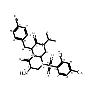 CC(C)N1CC2N(C(=O)C(N)CN2S(=O)(=O)c2ccc(Cl)cc2Cl)C(Cc2ccc(Br)cc2)C1=O